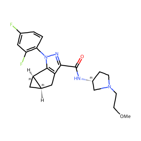 COCCN1CC[C@@H](NC(=O)c2nn(-c3ccc(F)cc3F)c3c2C[C@H]2C[C@@H]32)C1